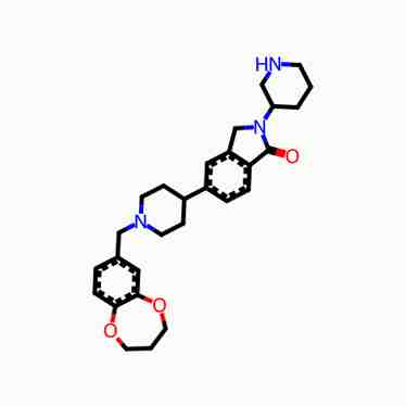 O=C1c2ccc(C3CCN(Cc4ccc5c(c4)OCCCO5)CC3)cc2CN1C1CCCNC1